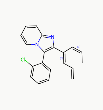 C=C/C=C(\C=C/C)c1nc2ccccn2c1-c1ccccc1Cl